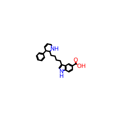 O=C(O)c1ccc2[nH]cc(CCCCC3NCC=CC3c3ccccc3)c2c1